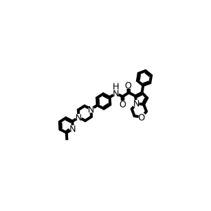 Cc1cccc(N2CCN(c3ccc(NC(=O)C(=O)c4c(-c5ccccc5)cc5n4CCOC5)cc3)CC2)n1